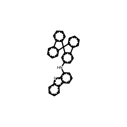 c1ccc2c(c1)-c1ccccc1C21c2ccccc2-c2ccc(Nc3cccc4c3sc3ccccc34)cc21